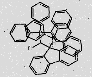 ClC(C1([PH](c2ccccc2)(c2ccccc2)c2ccccc2)c2ccccc2-c2ccccc21)[PH](c1ccccc1)(c1ccccc1)c1ccccc1